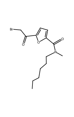 CCCCCCN(C)C(=O)c1ccc(C(=O)CBr)o1